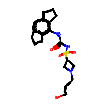 O=C(Nc1c2c(cc3c1CCC3)CCC2)NS(=O)(=O)C1CN(CCCO)C1